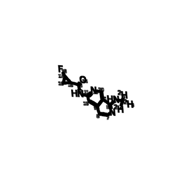 [2H]C([2H])([2H])Nc1nccc2cc(NC(=O)C3CC3F)ncc12